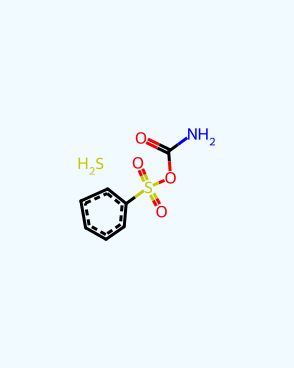 NC(=O)OS(=O)(=O)c1ccccc1.S